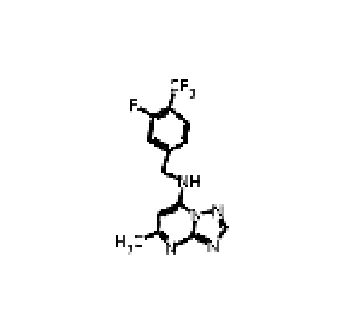 Cc1cc(NCc2ccc(C(F)(F)F)c(F)c2)n2ncnc2n1